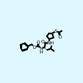 CC(=O)SC1CCC(NC(=O)[C@H](CC(C)C)NC(=O)OCc2ccccc2)C1